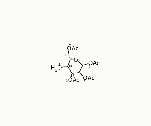 CC(=O)OC[C@@H]1OC(OC(C)=O)[C@@H](OC(C)=O)[C@@H](OC(C)=O)[C@@H]1C